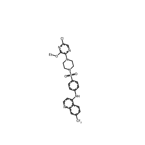 CCOc1nc(Cl)cnc1N1CCN(S(=O)(=O)c2ccc(Nc3ccnc4cc(C(F)(F)F)ccc34)cc2)CC1